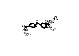 CC(C)(C)OOC(=O)c1ccc(C(=O)C2=CC=C(C(=O)O)C(C(=O)O)(C(=O)OOC(C)(C)C)C2)cc1